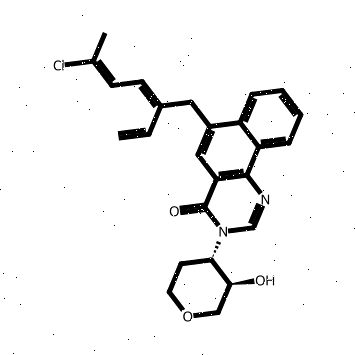 C=C/C(=C\C=C(/C)Cl)Cc1cc2c(=O)n([C@H]3CCOC[C@@H]3O)cnc2c2ccccc12